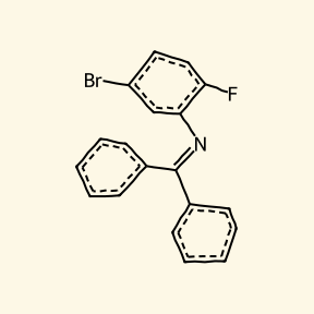 Fc1ccc(Br)cc1N=C(c1ccccc1)c1ccccc1